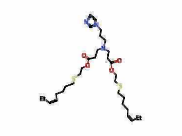 CC/C=C\CCCCSCCOC(=O)CCN(CCCn1ccnc1)CCC(=O)OCCSCCCC/C=C\CC